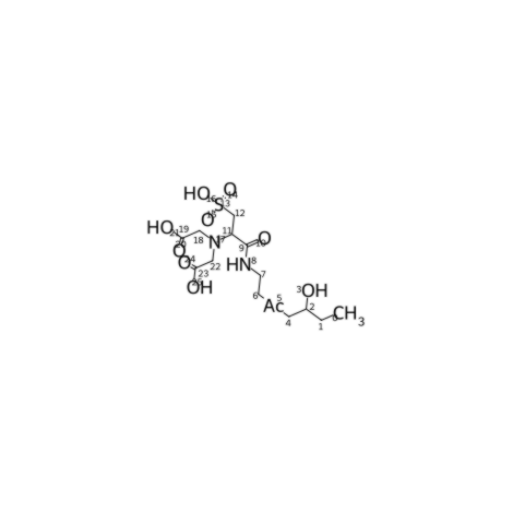 CCC(O)[CH2][Ac][CH2]CNC(=O)C(CS(=O)(=O)O)N(CC(=O)O)CC(=O)O